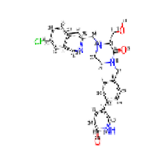 COCC1C(=O)N(Cc2ccc(-c3ccc(=O)[nH]c3)cc2)CCN1Cc1cc2ccc(Cl)cc2cn1